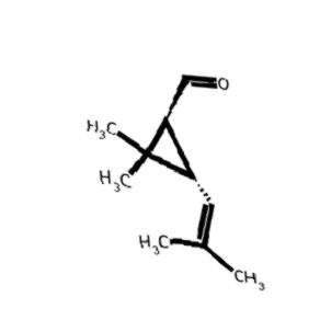 CC(C)=C[C@H]1[C@H](C=O)C1(C)C